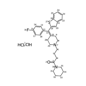 Cl.Cl.O=C(CCCN1CCC(=C(c2ccc(F)cc2)c2cc3ccccc3s2)CC1)N1CCCCC1